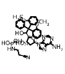 COc1ccccc1C(c1ccccc1)(c1ccccc1OC)C(O)[C@H]1O[C@@H](n2cnc3c(N)ncnc32)C[C@@H]1O.N#CCCNP(O)O